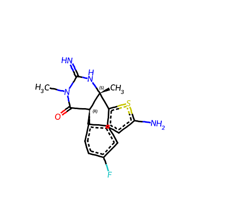 CN1C(=N)N[C@](C)(c2ccc(N)s2)[C@@H](c2ccc(F)cc2)C1=O